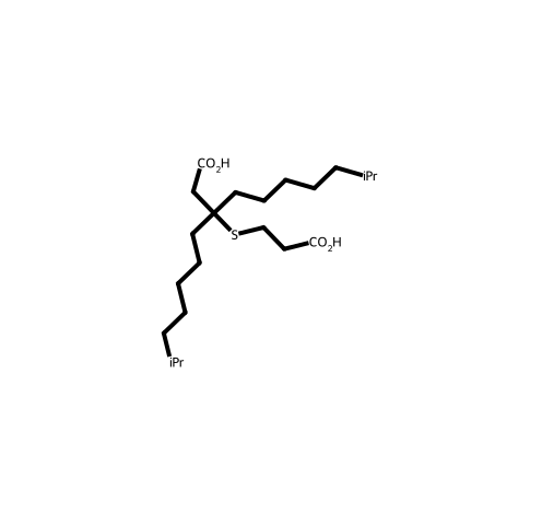 CC(C)CCCCCC(CCCCCC(C)C)(CC(=O)O)SCCC(=O)O